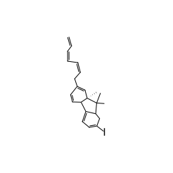 C=C/C=C\C=C/CC1=C[C@]2(C)C(C=C1)C1=CC=C(I)CC1C2(C)C